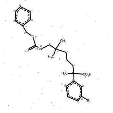 CC(C)(CCCC(C)(C(=O)O)c1cccc(Br)c1)CNC(=O)OCc1ccccc1